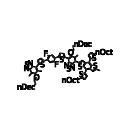 CCCCCCCCCCCCOc1c(C)c(-c2ccc(-c3cc(F)c(-c4ccc(-c5c(OCCCCCCCCCCCC)c(C)c(-c6cc7c(-c8ccc(CCCCCCCC)s8)c8sc(C)cc8c(-c8ccc(CCCCCCCC)s8)c7s6)c6nsnc56)s4)cc3F)s2)c2nsnc2c1C